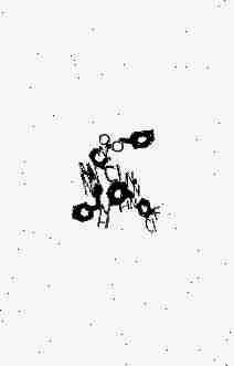 O=C(OCc1ccccc1)N1CCC(n2cc(C(Nc3cc(Cl)c4ncnc(NC5=CC(Cl)C(F)C=C5)c4c3)C3=CC=CCC3)nn2)CC1